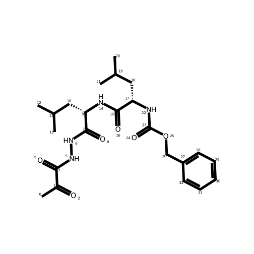 CC(=O)C(=O)NNC(=O)[C@H](CC(C)C)NC(=O)[C@H](CC(C)C)NC(=O)OCc1ccccc1